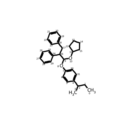 CCC(C)c1ccc(OC(OC2CCCC2)C(Cc2ccccc2)c2ccccc2)cc1